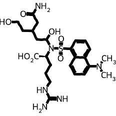 CN(C)c1cccc2c(S(=O)(=O)N(C(O)CC(CCO)CC(N)=O)[C@@H](CCCNC(=N)N)C(=O)O)cccc12